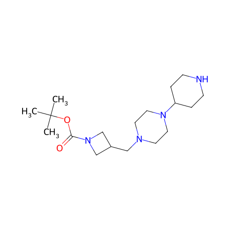 CC(C)(C)OC(=O)N1CC(CN2CCN(C3CCNCC3)CC2)C1